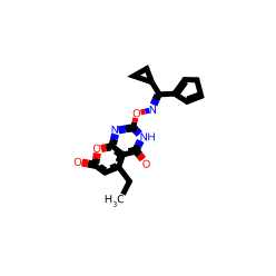 CCc1cc(=O)oc2nc(O/N=C(/C3=CCC=C3)C3CC3)[nH]c(=O)c12